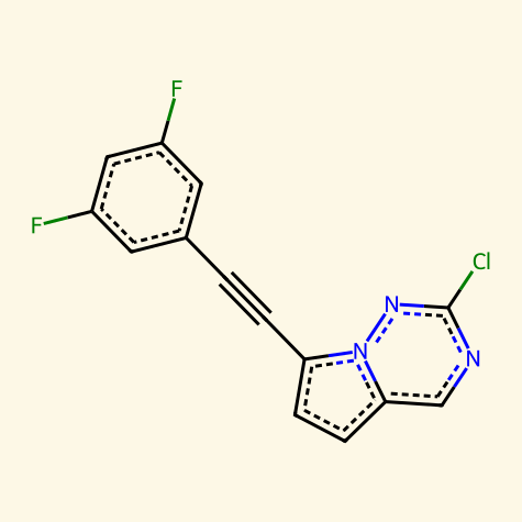 Fc1cc(F)cc(C#Cc2ccc3cnc(Cl)nn23)c1